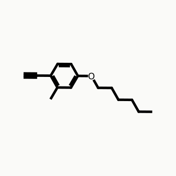 C#Cc1ccc(OCCCCCC)cc1C